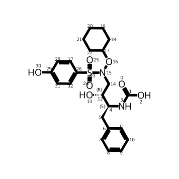 O=C(O)N[C@@H](Cc1ccccc1)[C@H](O)CN(OC1CCCCC1)S(=O)(=O)c1ccc(O)cc1